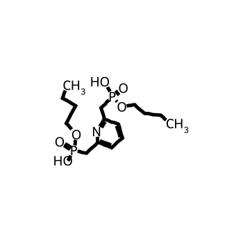 CCCCOP(=O)(O)Cc1cccc(CP(=O)(O)OCCCC)n1